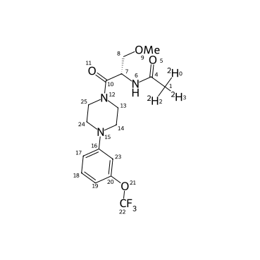 [2H]C([2H])([2H])C(=O)N[C@@H](COC)C(=O)N1CCN(c2cccc(OC(F)(F)F)c2)CC1